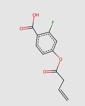 C=CCC(=O)Oc1ccc(C(=O)O)c(F)c1